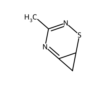 CC1=NSC2CC2=N1